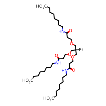 CCC(COCCC(=O)NCCCCCCCC(=O)O)(COCCC(=O)NCCCCCCCC(=O)O)COCCC(=O)NCCCCCCCC(=O)O